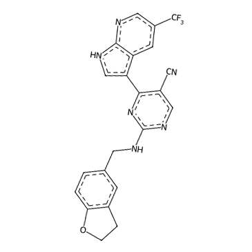 N#Cc1cnc(NCc2ccc3c(c2)CCO3)nc1-c1c[nH]c2ncc(C(F)(F)F)cc12